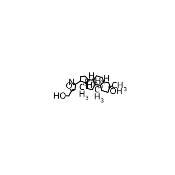 C[C@@]1(O)CC[C@@]2(C)[C@@H](CC[C@@H]3[C@@H]2CC[C@]2(C)C(c4cc(CO)on4)CC[C@@H]32)C1